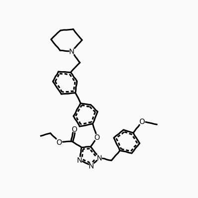 CCOC(=O)c1nnn(Cc2ccc(OC)cc2)c1Oc1ccc(-c2cccc(CN3CCCCC3)c2)cc1